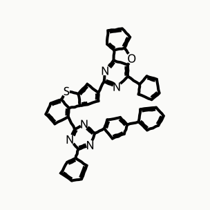 C1=CCC(c2nc(-c3ccc4c(c3)sc3cccc(-c5nc(-c6ccccc6)nc(-c6ccc(-c7ccccc7)cc6)n5)c34)nc3c2oc2ccccc23)C=C1